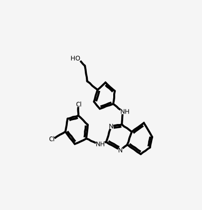 OCCc1ccc(Nc2nc(Nc3cc(Cl)cc(Cl)c3)nc3ccccc23)cc1